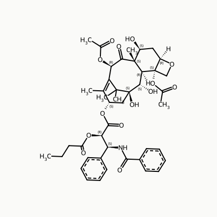 CCCC(=O)O[C@@H](C(=O)O[C@H]1C[C@@]2(O)[C@@H](O)[C@@H]3[C@]4(OC(C)=O)CO[C@@H]4C[C@H](O)[C@@]3(C)C(=O)[C@H](OC(C)=O)C(=C1C)C2(C)C)[C@@H](NC(=O)c1ccccc1)c1ccccc1